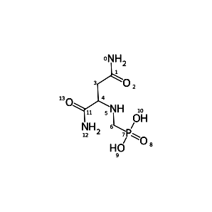 NC(=O)CC(NCP(=O)(O)O)C(N)=O